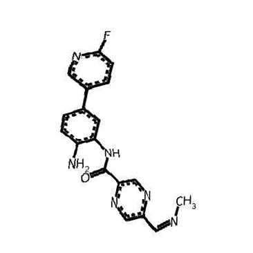 C/N=C\c1cnc(C(=O)Nc2cc(-c3ccc(F)nc3)ccc2N)cn1